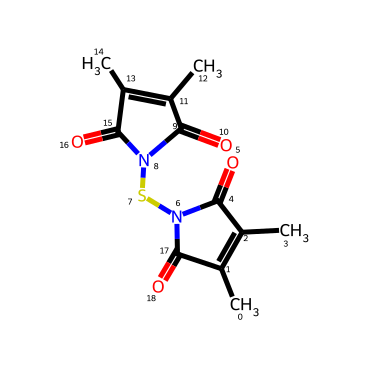 CC1=C(C)C(=O)N(SN2C(=O)C(C)=C(C)C2=O)C1=O